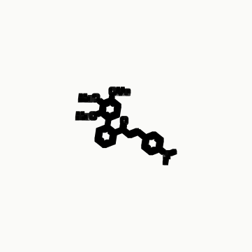 COc1ccc(-c2ccccc2C(=O)/C=C/c2ccc(N(C)C)cc2)c(OC)c1OC